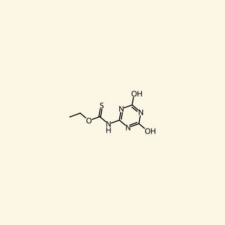 CCOC(=S)Nc1nc(O)nc(O)n1